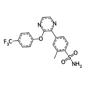 Cc1cc(-c2nccnc2Oc2ccc(C(F)(F)F)cc2)ccc1S(N)(=O)=O